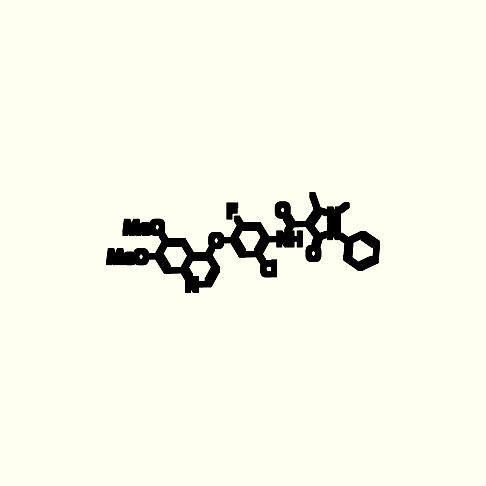 COc1cc2nccc(Oc3cc(Cl)c(NC(=O)c4c(C)n(C)n(-c5ccccc5)c4=O)cc3F)c2cc1OC